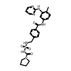 Cc1ccc(NC(=O)c2ccc(CNS(=O)(=O)NC(=O)N3CCCC3)cc2)cc1Nc1ncccn1